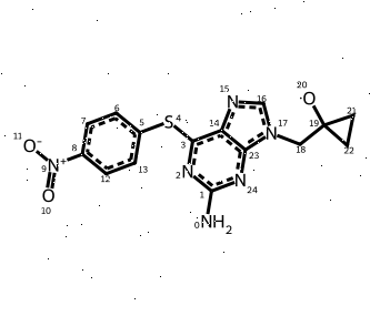 Nc1nc(Sc2ccc([N+](=O)[O-])cc2)c2ncn(CC3([O])CC3)c2n1